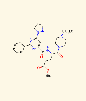 CCOC(=O)N1CCN(C(=O)C(CCC(=O)OC(C)(C)C)NC(=O)c2cc(N3CCC=N3)nc(-c3ccccc3)n2)CC1